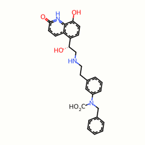 O=C(O)N(Cc1ccccc1)c1cccc(CCNC[C@H](O)c2ccc(O)c3[nH]c(=O)ccc23)c1